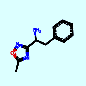 Cc1nc(C(N)Cc2ccccc2)no1